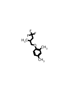 Cc1ccc(OCC(C)CC(F)(F)F)c(C)c1